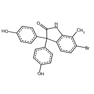 Cc1c(Br)ccc2c1NC(=O)C2(c1ccc(O)cc1)c1ccc(O)cc1